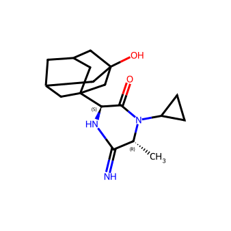 C[C@@H]1C(=N)N[C@@H](C23CC4CC(CC(O)(C4)C2)C3)C(=O)N1C1CC1